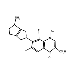 CC(C)(C)n1cc(C(=O)O)c(=O)c2cc(F)c(N3CC4=C(C3)C(N)CC4)c(F)c21